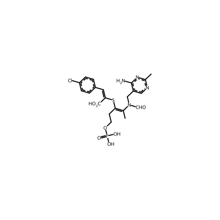 C/C(=C(\CCOP(=O)(O)O)S/C(=C/c1ccc(Cl)cc1)C(=O)O)N(C=O)Cc1cnc(C)nc1N